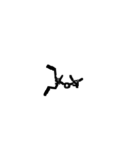 C=CC[Si](C)(CC=C)O[Si](C)(C)C